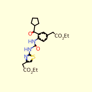 CCOC(=O)Cc1ccc(NC(=O)Nc2nc(CC(=O)OCC)cs2)c(C(=O)C2CCCC2)c1